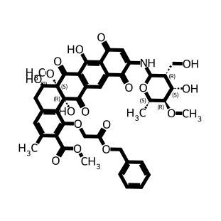 COC(=O)c1c(C)cc2c(c1OCC(=O)OCc1ccccc1)[C@]1(O)C(=O)c3cc4c(c(O)c3C(=O)[C@]1(OC)[C@H](O)C2)C(=O)C=C(NC1O[C@@H](C)[C@H](OC)[C@@H](O)[C@H]1CO)C4=O